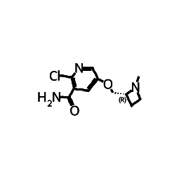 CN1CC[C@@H]1COc1cnc(Cl)c(C(N)=O)c1